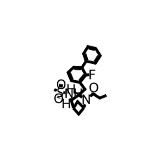 CCC(=O)N1C2CC(C2)[C@H](NS(C)(=O)=O)[C@@H]1Cc1cccc(-c2ccccc2)c1F